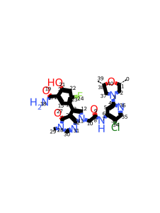 C[C@@H]1CN(c2cc(NC(=O)Cn3cc(-c4cc(C(N)=O)c(O)cc4F)c4c(=O)n(C)cnc43)c(Cl)cn2)C[C@H](C)O1